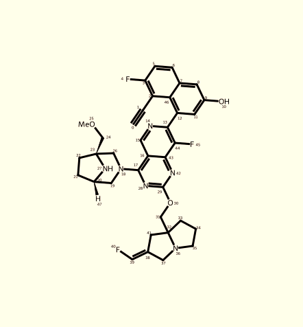 C#Cc1c(F)ccc2cc(O)cc(-c3ncc4c(N5C[C@@H]6CC[C@](COC)(C5)N6)nc(OCC56CCCN5C/C(=C/F)C6)nc4c3F)c12